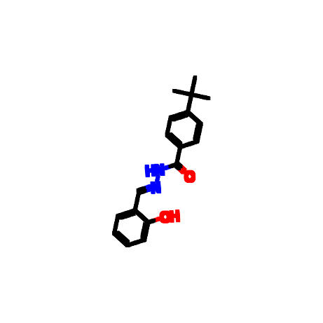 CC(C)(C)c1ccc(C(=O)NN=Cc2ccccc2O)cc1